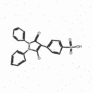 [O]c1c(-c2ccc(S(=O)(=O)O)cc2)c(=O)n(-c2ccccc2)n1-c1ccccc1